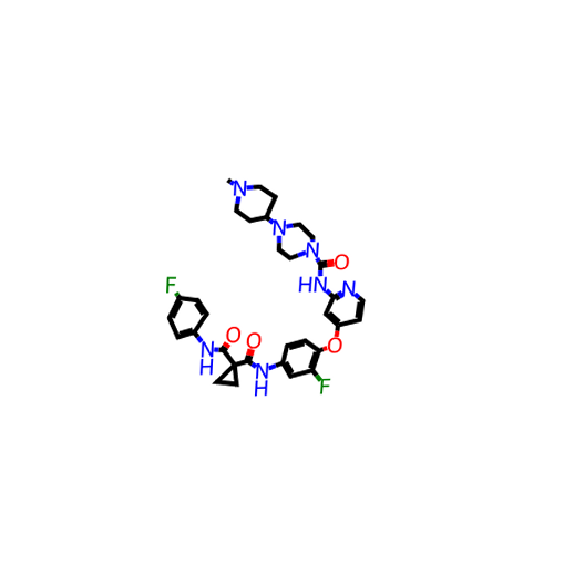 CN1CCC(N2CCN(C(=O)Nc3cc(Oc4ccc(NC(=O)C5(C(=O)Nc6ccc(F)cc6)CC5)cc4F)ccn3)CC2)CC1